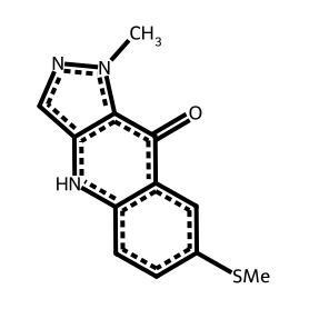 CSc1ccc2[nH]c3cnn(C)c3c(=O)c2c1